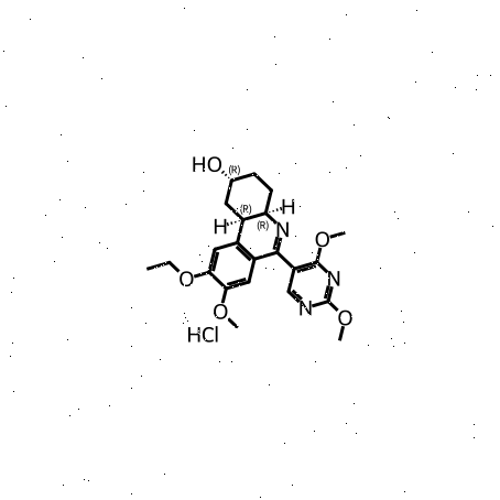 CCOc1cc2c(cc1OC)C(c1cnc(OC)nc1OC)=N[C@@H]1CC[C@@H](O)C[C@H]21.Cl